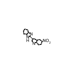 O=[N+]([O-])c1ccc2ncc(-c3nc4ccccc4[nH]3)cc2c1